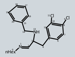 CCCCCCN=CC(Cc1ccc(Cl)c(Cl)c1)NCc1ccccc1